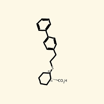 O=C(O)[C@@H]1CCCC[C@H]1SCCc1ccc(-c2ccccc2)cc1